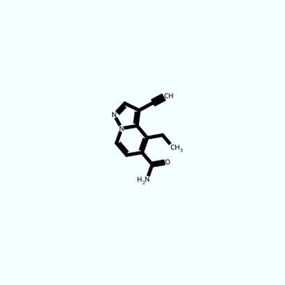 C#Cc1cnn2ccc(C(N)=O)c(CC)c12